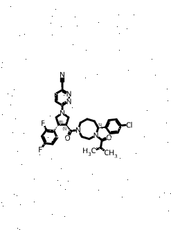 CC(C)C(=O)N1CCN(C(=O)[C@@H]2CN(c3ccc(C#N)nn3)C[C@H]2c2ccc(F)cc2F)CCC[C@H]1c1ccc(Cl)cc1